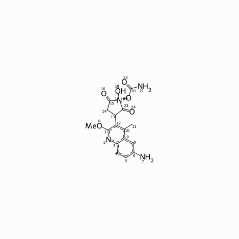 COc1nc2ccc(N)cc2c(C)c1C1CC(=O)[N+](O)(OC(N)=O)C1=O